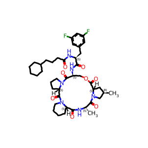 C[C@@H]1C[C@H]2C(=O)OC[C@H](NC(=O)[C@H](Cc3cc(F)cc(F)c3)NC(=O)CCCC3CCCCC3)C(=O)N3CCC[C@H]3C(=O)N3CCCC[C@H]3C(=O)N[C@@H](C)C(=O)N2C1